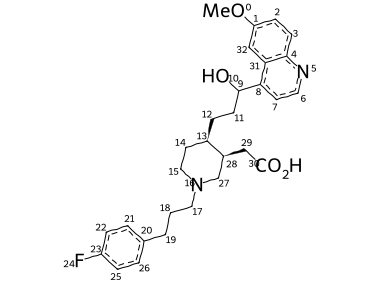 COc1ccc2nccc(C(O)CC[C@@H]3CCN(CCCc4ccc(F)cc4)C[C@@H]3CC(=O)O)c2c1